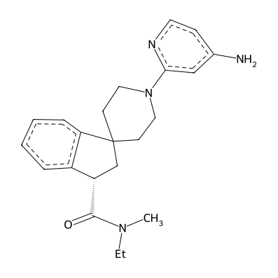 CCN(C)C(=O)[C@H]1CC2(CCN(c3cc(N)ccn3)CC2)c2ccccc21